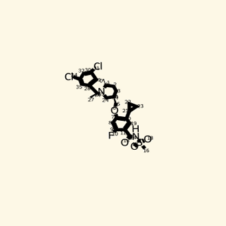 C[C@@H]1CC[C@@H](COc2cc(F)c(C(=O)NS(C)(=O)=O)cc2C2CC2)CN1[C@@H](C)c1cc(Cl)cc(Cl)c1